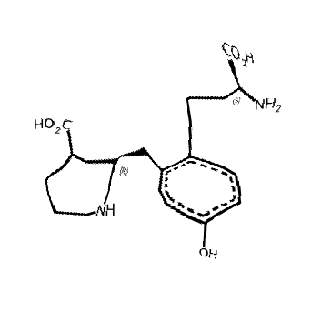 N[C@@H](Cc1ccc(O)cc1C[C@H]1NCCC1C(=O)O)C(=O)O